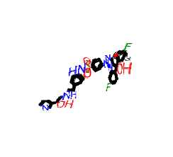 Cc1nn(-c2ccc(S(=O)(=O)Nc3ccc(CCNCC(O)c4cccnc4)cc3)cc2)nc1C(O)(c1ccc(F)cc1)c1ccc(F)cc1